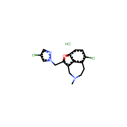 CN1CCc2c(Cl)ccc3oc(Cn4cc(Cl)cn4)c(c23)C1.Cl